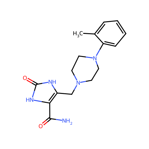 Cc1ccccc1N1CCN(Cc2[nH]c(=O)[nH]c2C(N)=O)CC1